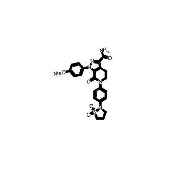 COc1ccc(-n2nc(C(N)=O)c3c2C(=O)N(c2ccc(N4CCCS4(=O)=O)cc2)CC3)cc1